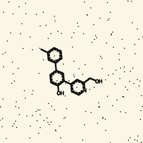 Cc1cccc(-c2ccc(O)c(-c3ccnc(CO)c3)c2)c1